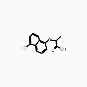 CC(Oc1cccc2c(O)cccc12)C(=O)O